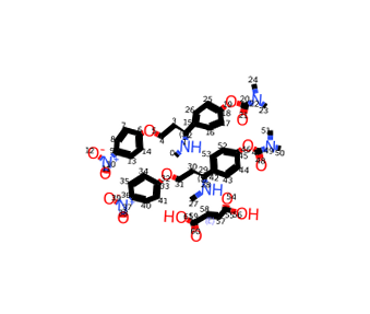 CN[C@@H](CCOc1ccc([N+](=O)[O-])cc1)c1ccc(OC(=O)N(C)C)cc1.CN[C@@H](CCOc1ccc([N+](=O)[O-])cc1)c1ccc(OC(=O)N(C)C)cc1.O=C(O)/C=C/C(=O)O